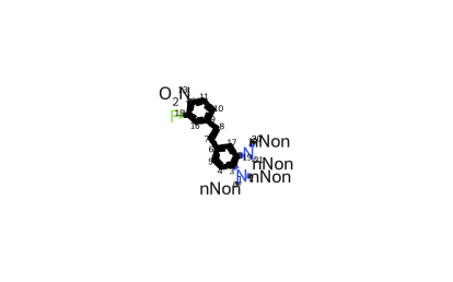 CCCCCCCCCN(CCCCCCCCC)c1ccc(C=Cc2ccc([N+](=O)[O-])c(F)c2)cc1N(CCCCCCCCC)CCCCCCCCC